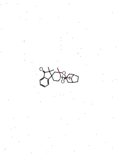 CCOC(=O)N1C2CCC1CC(N1CCC3(CC1)c1ccccc1C(=O)C3(C)C)C2